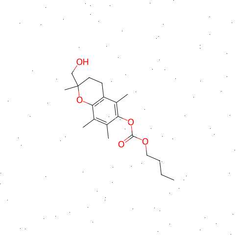 CCCCOC(=O)Oc1c(C)c(C)c2c(c1C)CCC(C)(CO)O2